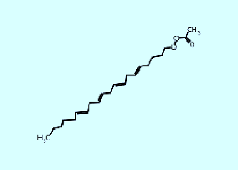 CCCCCC=CCC=CCC=CCC=CCCCCOOC(C)=O